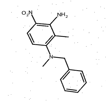 Cc1c(N(C)Cc2ccccc2)ccc([N+](=O)[O-])c1N